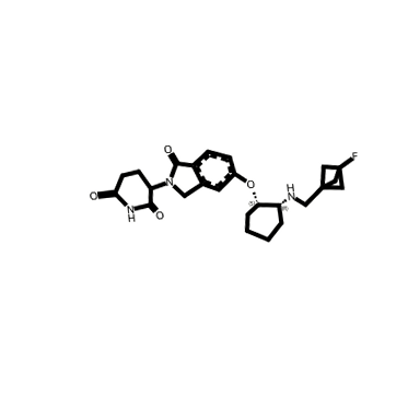 O=C1CCC(N2Cc3cc(O[C@H]4CCCC[C@H]4NCC45CC(F)(C4)C5)ccc3C2=O)C(=O)N1